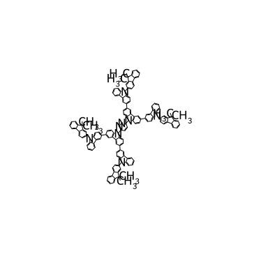 CC1(C)c2ccccc2-c2ccc(-n3c4ccccc4c4cc(-c5ccc6c(c5)c5cc(-c7ccc8c(c7)c7ccccc7n8-c7ccc8c(c7)C(C)(C)c7ccccc7-8)ccc5n6-c5ccc(-n6c7ccc(-c8ccc9c(c8)c8ccccc8n9-c8ccc9c(c8)C(C)(C)c8ccccc8-9)cc7c7cc(-c8ccc9c(c8)c8ccccc8n9-c8ccc9c(c8)C(C)(C)c8ccccc8-9)ccc76)nn5)ccc43)cc21